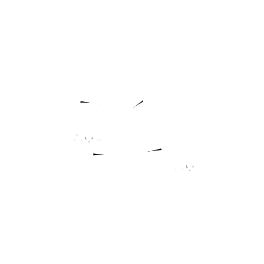 COC(=O)[C@]1(O)C=CCC[C@]12O[C@]1(C(=O)OC)C=CCC[C@]1(O)O2